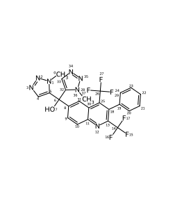 Cn1nncc1C(O)(c1ccc2nc(C(F)(F)F)c(-c3ccccc3)c(C(F)(F)F)c2c1)c1cnnn1C